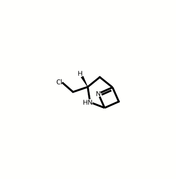 ClC[C@@H]1CC2=NC(C2)N1